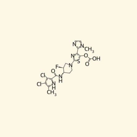 Cc1[nH]c(C(=O)N[C@@H]2CCN(c3nc(-c4nccn4C)c(OC(=O)O)s3)C[C@@H]2F)c(Cl)c1Cl